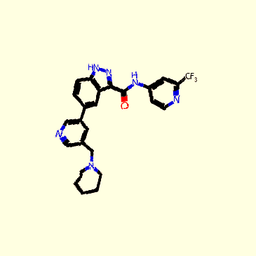 O=C(Nc1ccnc(C(F)(F)F)c1)c1n[nH]c2ccc(-c3cncc(CN4CCCCC4)c3)cc12